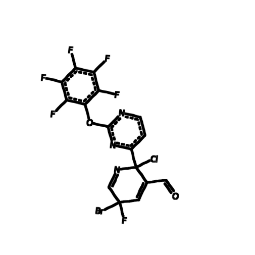 O=CC1=CC(F)(Br)C=NC1(Cl)c1ccnc(Oc2c(F)c(F)c(F)c(F)c2F)n1